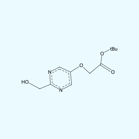 CC(C)(C)OC(=O)COc1cnc(CO)nc1